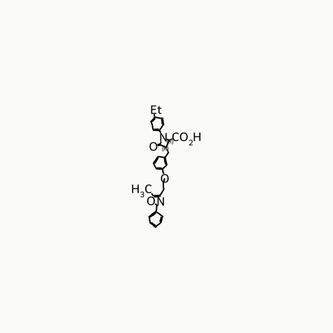 CCc1ccc(N2C(=O)[C@H](Cc3cccc(OCCc4nc(-c5ccccc5)oc4C)c3)[C@@H]2C(=O)O)cc1